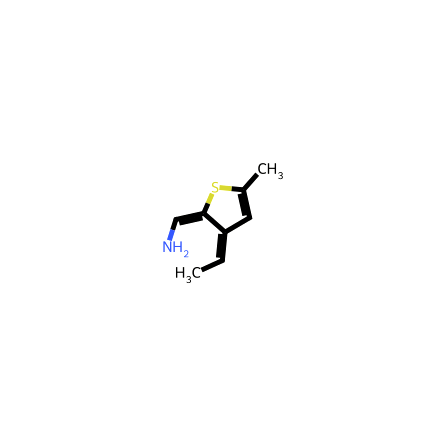 C/C=c1/cc(C)s/c1=C/N